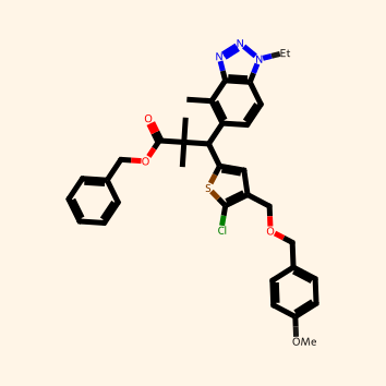 CCn1nnc2c(C)c(C(c3cc(COCc4ccc(OC)cc4)c(Cl)s3)C(C)(C)C(=O)OCc3ccccc3)ccc21